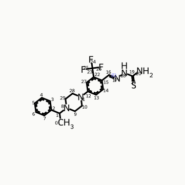 CC(c1ccccc1)N1CCN(c2ccc(/C=N/NC(N)=S)c(C(F)(F)F)c2)CC1